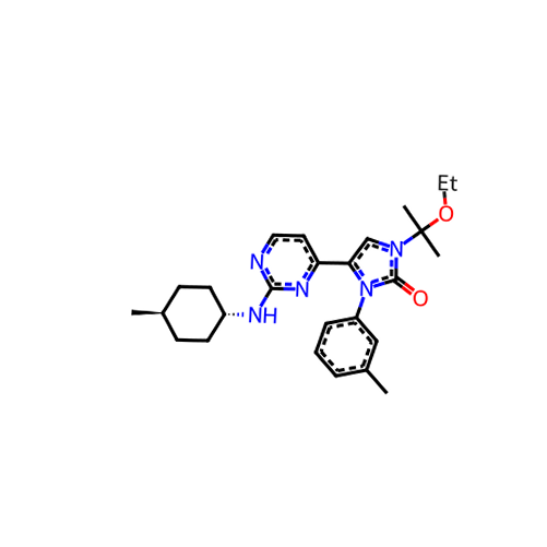 CCOC(C)(C)n1cc(-c2ccnc(N[C@H]3CC[C@H](C)CC3)n2)n(-c2cccc(C)c2)c1=O